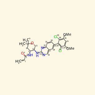 C=CC(=O)N[C@H]1CC(C)(C)OC[C@H]1Nc1ncc2cc(-c3c(Cl)c(OC)cc(OC)c3Cl)ccc2n1